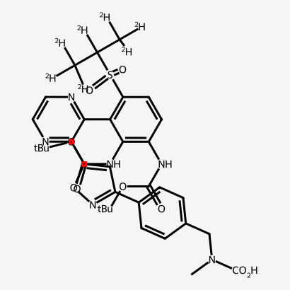 [2H]C([2H])([2H])C([2H])(C([2H])([2H])[2H])S(=O)(=O)c1ccc(NC(=O)OC(C)(C)C)c(NC(=O)OC(C)(C)C)c1-c1nccnc1-c1cc(-c2ccc(CN(C)C(=O)O)cc2)no1